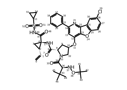 C=C[C@@H]1C[C@]1(NC(=O)[C@@H]1C[C@@H](Oc2cc(-c3ccccc3)nc3c2oc2ccc(Cl)cc23)CN1C(=O)[C@@H](NOC(C)(C)C)C(C)(C)C)C(=O)NS(=O)(=O)C1CC1